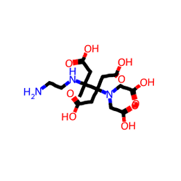 CC(CC(=O)O)(NCCN)C(CC(=O)O)(CC(=O)O)N(CC(=O)O)CC(=O)O